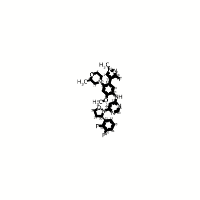 COc1cc(N2CCO[C@H](C)C2)c(-c2cn(C)nc2F)cc1Nc1cc(N2OCC[C@@H]2c2cccc(F)c2F)ncn1